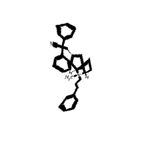 C[N+]1(CCCc2ccccc2)[C@H]2CCC23C[C@@H](CC(C#N)(c2ccccc2)c2ccccc2)C[C@@H]31